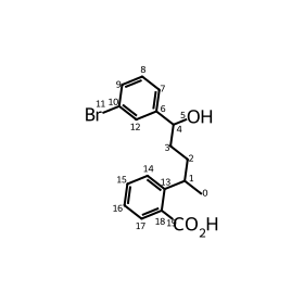 CC(CCC(O)c1cccc(Br)c1)c1ccccc1C(=O)O